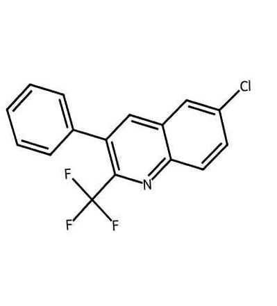 FC(F)(F)c1nc2ccc(Cl)cc2cc1-c1ccccc1